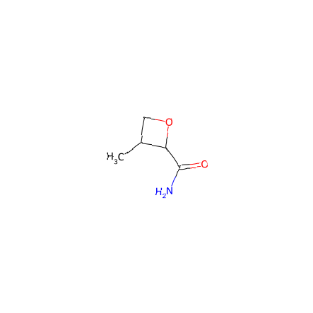 CC1COC1C(N)=O